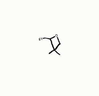 CCC1OCC1(C)C